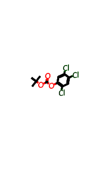 CC(C)(C)OC(=O)Oc1cc(Cl)c(Cl)cc1Cl